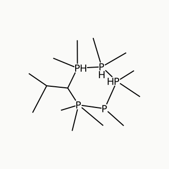 CC(C)C1[PH](C)(C)[PH](C)(C)[PH](C)(C)P(C)P1(C)(C)C